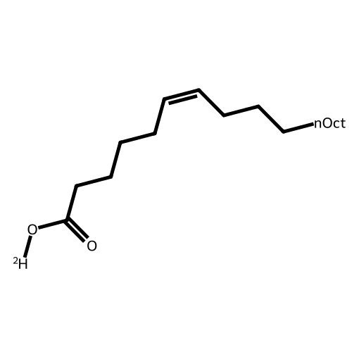 [2H]OC(=O)CCCC/C=C\CCCCCCCCCCC